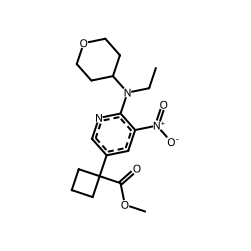 CCN(c1ncc(C2(C(=O)OC)CCC2)cc1[N+](=O)[O-])C1CCOCC1